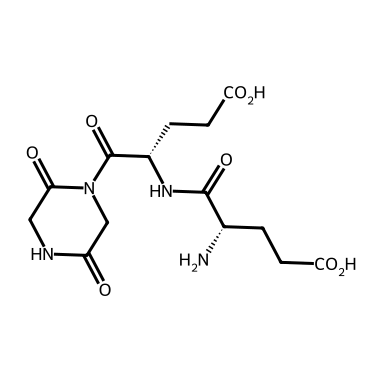 N[C@@H](CCC(=O)O)C(=O)N[C@@H](CCC(=O)O)C(=O)N1CC(=O)NCC1=O